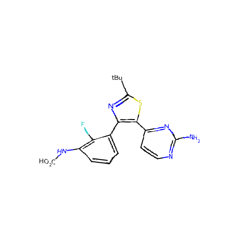 CC(C)(C)c1nc(-c2cccc(NC(=O)O)c2F)c(-c2ccnc(N)n2)s1